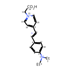 CCN(CC)c1ccc(/C=C/c2cc[n+](CC(=O)O)cc2)cc1